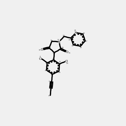 CC#Cc1cc(Cl)c(C2C(=O)CN(Cc3ccccn3)C2=O)c(Cl)c1